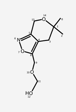 CC1(C)Cc2c(noc2COCO)CO1